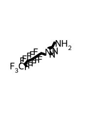 NCc1cn(CCC(F)(F)C(F)(F)C(F)(F)C(F)(F)C(F)(F)C(F)(F)F)nn1